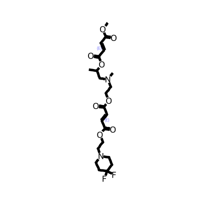 COC(=O)/C=C/C(=O)OC(C)CN(C)CCOC(=O)/C=C/C(=O)OCCN1CCC(F)(F)CC1